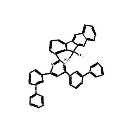 CC1(C)c2cc3ccccc3cc2-c2cccc(-c3nc(-c4cccc(-c5ccccc5)c4)cc(-c4cccc(-c5ccccc5)c4)n3)c21